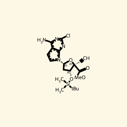 C#C[C@@]1(C(=O)OC)O[C@@H](n2ccc3c(N)nc(Cl)nc32)C[C@H]1O[Si](C)(C)C(C)(C)C